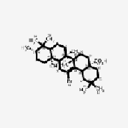 C[C@H]1CC[C@@]2(C)C(CC[C@]3(C)C2CC(Br)=C2C4CC(C)(C)CC[C@]4(C(=O)O)CC[C@]23C)C1(C)C